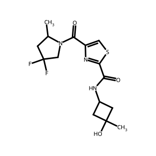 CC1CC(F)(F)CN1C(=O)c1csc(C(=O)NC2CC(C)(O)C2)n1